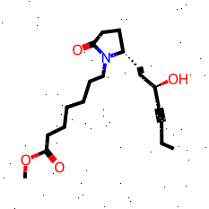 CCC#C[C@H](O)C=C[C@H]1CCC(=O)N1CCCCCCC(=O)OC